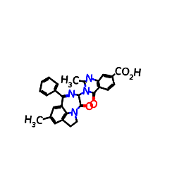 Cc1cc2c3c(c1)C(c1ccccc1)=NC(n1c(C)nc4cc(C(=O)O)ccc4c1=O)C(=O)N3CC2